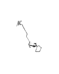 N#CCCCCCN=C1CCCC1